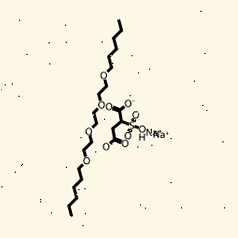 CCCCCCOCCOCCOCCOCCCCCC.O=C([O-])CC(C(=O)[O-])S(=O)(=O)O.[Na+].[Na+]